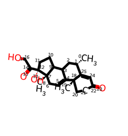 C[C@H]1CC2C(=CC[C@@]3(C)C2CC[C@]3(O)C(=O)CO)[C@@]2(C)CCC(=O)C=C12